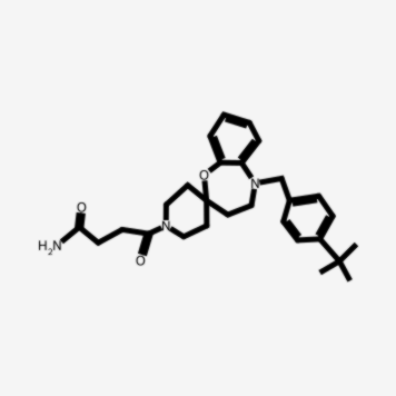 CC(C)(C)c1ccc(CN2CCC3(CCN(C(=O)CCC(N)=O)CC3)Oc3ccccc32)cc1